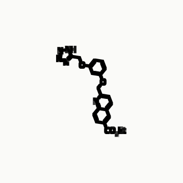 CCOC(=O)c1ccc2nc(COc3cccc(OCc4nnn[nH]4)c3)ccc2c1